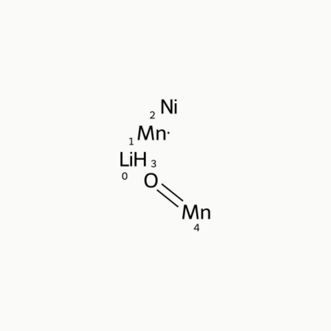 [LiH].[Mn].[Ni].[O]=[Mn]